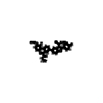 CNC(=O)C1c2cc(-c3ccc(-c4cccc(OC)c4F)c(C(=O)NCC(C)C)c3)ccc2OC1c1ccc(F)cc1